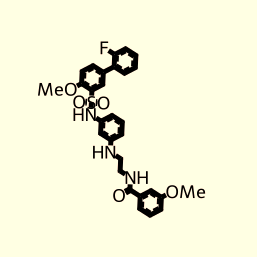 COc1cccc(C(=O)NCCNc2cccc(NS(=O)(=O)c3cc(-c4ccccc4F)ccc3OC)c2)c1